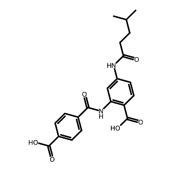 CC(C)CCC(=O)Nc1ccc(C(=O)O)c(NC(=O)c2ccc(C(=O)O)cc2)c1